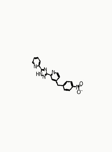 O=[N+]([O-])c1ccc(Cc2ccnc(-c3n[nH]c(-c4ccccn4)n3)c2)cc1